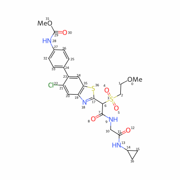 COCCS(=O)(=O)C(C(=O)NCC(=O)NC1CC1)c1nc2cc(Cl)c(-c3ccc(NC(=O)OC)cc3)cc2s1